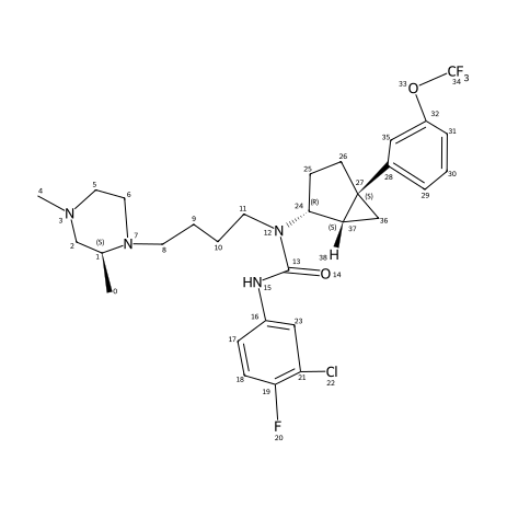 C[C@H]1CN(C)CCN1CCCCN(C(=O)Nc1ccc(F)c(Cl)c1)[C@@H]1CC[C@]2(c3cccc(OC(F)(F)F)c3)C[C@H]12